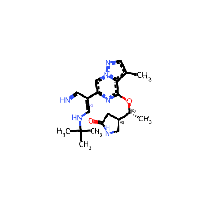 Cc1cnn2cc(/C(C=N)=C/NC(C)(C)C)nc(O[C@H](C)[C@H]3CNC(=O)C3)c12